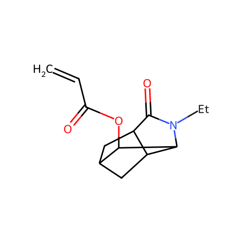 C=CC(=O)OC1C2CC3C(=O)N(CC)C1C3C2